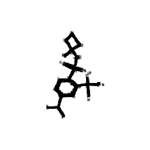 CC(C)c1ccc(S(=O)(=O)NC2(C)CCC2)c(C(F)(F)F)c1